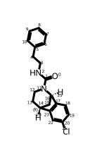 O=C(NCCc1ccccc1)N1CC[C@@H]2C[C@@H]1c1ccc(Cl)cc12